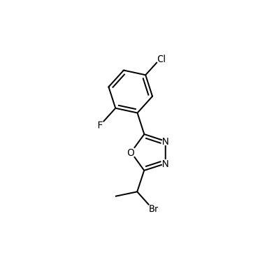 CC(Br)c1nnc(-c2cc(Cl)ccc2F)o1